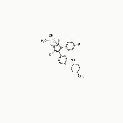 CC(C)(O)Cn1c(Cl)c(-c2ccnc(N[C@H]3CC[C@H](C)CC3)n2)n(-c2ccc(F)cc2)c1=O